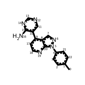 Cc1ccc(-n2ncc3c(-c4cncnc4N)ccnc32)cc1